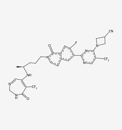 C[C@@H](CCCn1ccc2cc(-c3ncc(C(F)(F)F)c(N4CC(C#N)C4)n3)c(F)cc2c1=O)NC1=C(C(F)(F)F)C(=O)NCN=C1